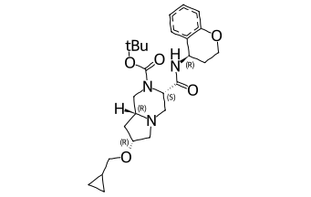 CC(C)(C)OC(=O)N1C[C@H]2C[C@@H](OCC3CC3)CN2C[C@H]1C(=O)N[C@@H]1CCOc2ccccc21